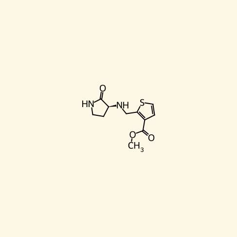 COC(=O)c1ccsc1CN[C@H]1CCNC1=O